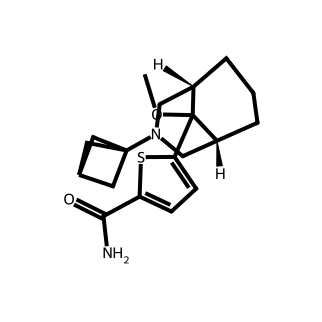 COC1(c2ccc(C(N)=O)s2)[C@@H]2CCC[C@H]1CN(C13CC(C1)C3)C2